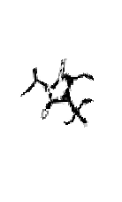 Cc1[nH]n(C(C)C)c(=O)c1C(C)(C)C